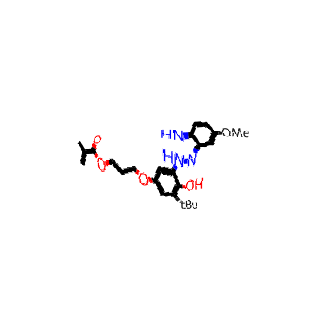 C=C(C)C(=O)OCCCOc1cc(N/N=C2/C=C(OC)C=CC2=N)c(O)c(C(C)(C)C)c1